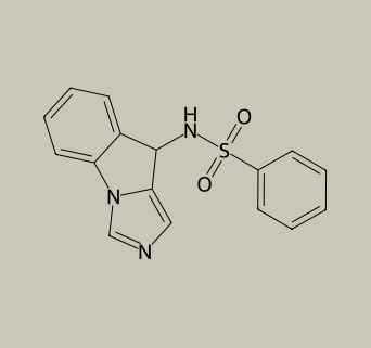 O=S(=O)(NC1c2ccccc2-n2cncc21)c1ccccc1